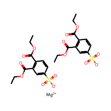 CCOC(=O)c1ccc(S(=O)(=O)[O-])cc1C(=O)OCC.CCOC(=O)c1ccc(S(=O)(=O)[O-])cc1C(=O)OCC.[Mg+2]